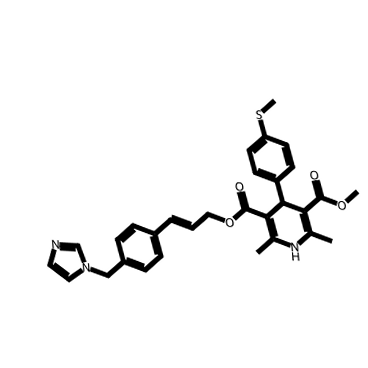 COC(=O)C1=C(C)NC(C)=C(C(=O)OCC=Cc2ccc(Cn3ccnc3)cc2)C1c1ccc(SC)cc1